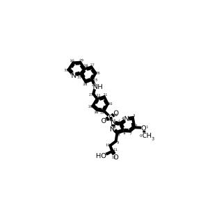 COc1cnc2c(c1)c(CCC(=O)O)nn2S(=O)(=O)c1ccc(CNc2ccc3cccnc3c2)cc1